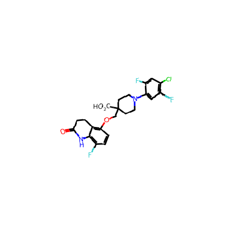 O=C1CCc2c(OCC3(C(=O)O)CCN(c4cc(F)c(Cl)cc4F)CC3)ccc(F)c2N1